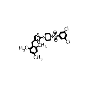 Cc1cc(C)c(Cc2csc(N3CCN(S(=O)(=O)c4cc(Cl)cc(Cl)c4)CC3)n2)c(C)c1